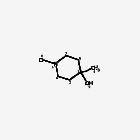 CC1(O)CCN(Cl)CC1